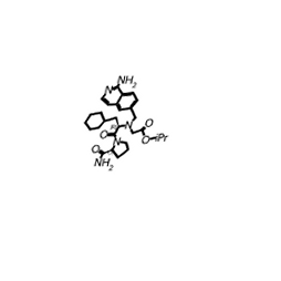 CC(C)OC(=O)CN(Cc1ccc2c(N)nccc2c1)[C@H](CC1CCCCC1)C(=O)N1CCC[C@H]1C(N)=O